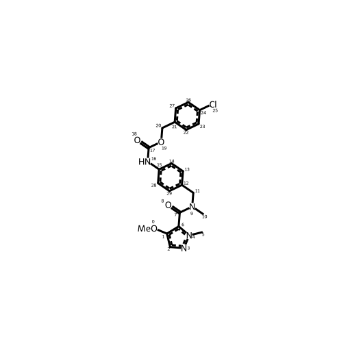 COc1cnn(C)c1C(=O)N(C)Cc1ccc(NC(=O)OCc2ccc(Cl)cc2)cc1